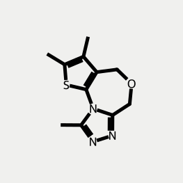 Cc1sc2c(c1C)COCc1nnc(C)n1-2